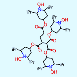 CC(C)C1CC(OC(=O)CCC(C(=O)OC2CC(C(C)C)N(O)C(C(C)C)C2)C(C(=O)OC2CC(C(C)C)N(O)C(C(C)C)C2)C(=O)OC2CC(C(C)C)N(O)C(C(C)C)C2)CC(C(C)C)N1O